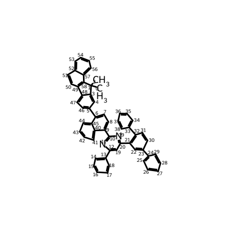 CC1(C)c2cc(-c3ccc(-c4nc(-c5ccccc5)cc(-c5cc(-c6ccccc6)ccc5-c5ccccc5)n4)c4ccccc34)ccc2-c2ccc3ccccc3c21